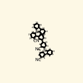 N#Cc1ccc2c(c1)c1ccccc1n2-c1ccc(-c2cccc(-c3c(C#N)cccc3-n3c4ccccc4c4ccccc43)c2)cc1C#N